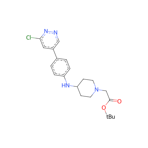 CC(C)(C)OC(=O)CN1CCC(Nc2ccc(-c3cnnc(Cl)c3)cc2)CC1